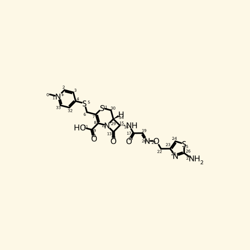 C[n+]1ccc(SCC2=C(C(=O)O)N3C(=O)[C@@H](NC(=O)C=NOCc4csc(N)n4)[C@H]3CS2)cc1